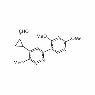 COc1ncc(-c2cc(C3C[C@@H]3C=O)c(OC)nn2)c(OC)n1